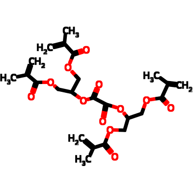 C=C(C)C(=O)OCC(COC(=O)C(=C)C)OC(=O)C(=O)OC(COC(=O)C(=C)C)COC(=O)C(=C)C